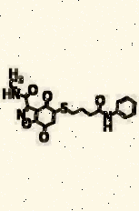 CNC(=O)c1noc2c1C(=O)C(SCCCC(=O)Nc1ccccc1)=CC2=O